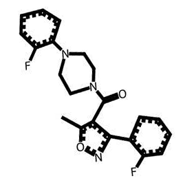 Cc1onc(-c2ccccc2F)c1C(=O)N1CCN(c2ccccc2F)CC1